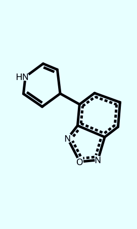 C1=CC(c2cccc3nonc23)C=CN1